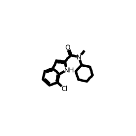 CN(C(=O)c1cc2cccc(Cl)c2[nH]1)C1CCCCC1